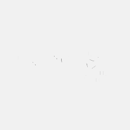 CC(C)N(CCCCNC(=O)CSC1CCCCC1Sc1cc(C(C)(C)C)cc(C(C)(C)C)c1)C(C)C